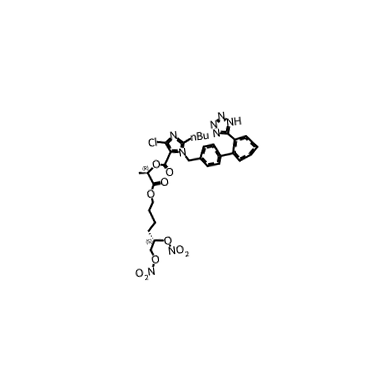 CCCCc1nc(Cl)c(C(=O)O[C@H](C)C(=O)OCCCC[C@@H](CO[N+](=O)[O-])O[N+](=O)[O-])n1Cc1ccc(-c2ccccc2-c2nnn[nH]2)cc1